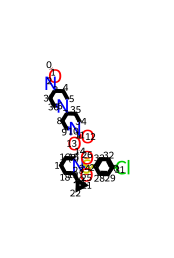 CON=C1CCN(C2CCN(C(=O)OC[C@H]3CCCC(C4CC4)N3S(=O)(=O)c3ccc(Cl)cc3)CC2)CC1